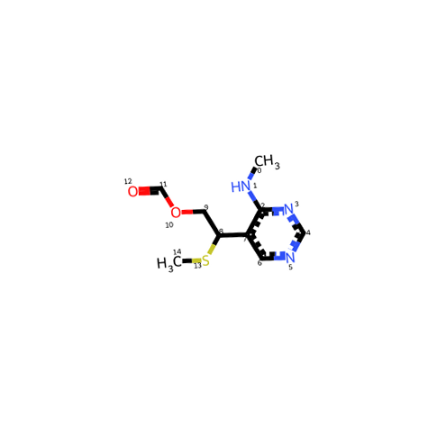 CNc1ncncc1C(COC=O)SC